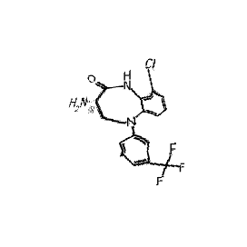 N[C@H]1CN(c2cccc(C(F)(F)F)c2)c2cccc(Cl)c2NC1=O